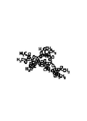 C=CC(=O)OCC(COCC(COC(=O)C=C)(COC(=O)C=C)COC(=O)NCC1(C)CC(NC(=O)OCC(COCC(COC(=O)C=C)(COC(=O)C=C)COC(=O)C=C)(COC(=O)C=C)COC(=O)C=C)CC(C)(C)C1)(COC(=O)C=C)COC(=O)C=C